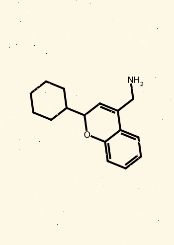 NCC1=CC(C2CCCCC2)Oc2ccccc21